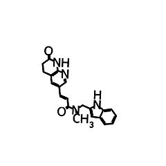 CN(Cc1cc2ccccc2[nH]1)C(=O)/C=C/c1cnc2c(c1)CCC(=O)N2